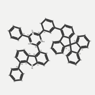 C1=CC(c2cccc3c2-c2ccccc2C32c3ccccc3-c3ccccc32)=CC(c2nc(-c3ccccc3)nc(-c3cccc4sc5c(-c6ccccc6)cccc5c34)n2)C1